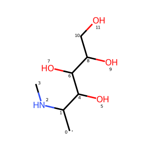 [CH2]C(NC)C(O)C(O)C(O)CO